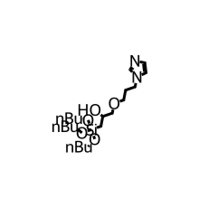 CCCCO[Si](CC(O)COCCCn1ccnc1)(OCCCC)OCCCC